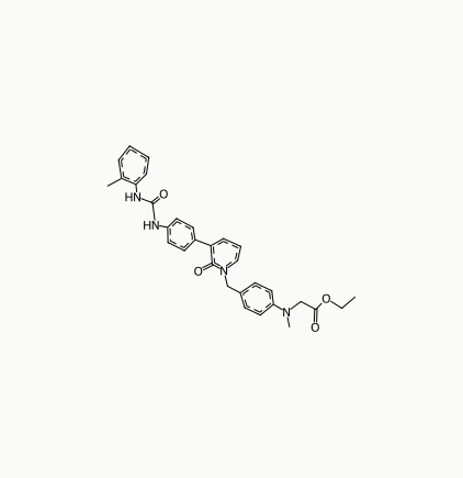 CCOC(=O)CN(C)c1ccc(Cn2cccc(-c3ccc(NC(=O)Nc4ccccc4C)cc3)c2=O)cc1